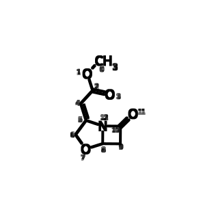 COC(=O)C=C1COC2CC(=O)N12